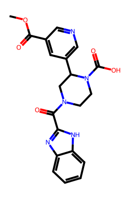 COC(=O)c1cncc(C2CN(C(=O)c3nc4ccccc4[nH]3)CCN2C(=O)O)c1